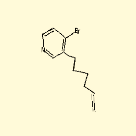 C=CCCCCc1cnccc1Br